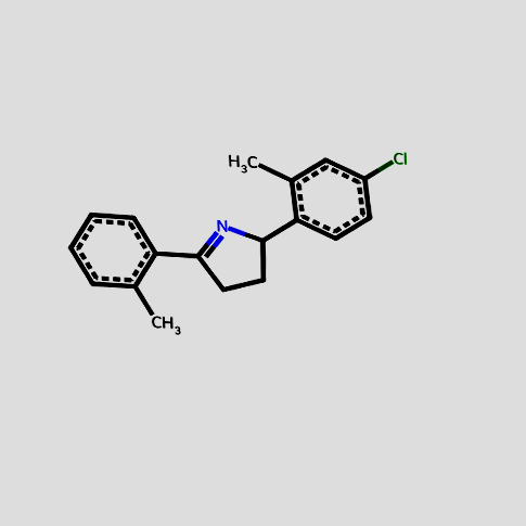 Cc1ccccc1C1=NC(c2ccc(Cl)cc2C)CC1